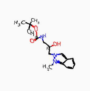 C[n+]1c2ccccc2cn1C[C@H](O)CNC(=O)OC(C)(C)C